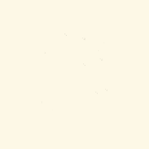 COc1ccc(Cn2cc(-c3nc4c([nH]c5ncc(Br)cc54)c(=O)[nH]3)cn2)cc1